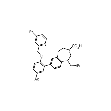 CCc1ccnc(COc2ccc(C(C)=O)cc2-c2ccc3c(c2)CCN(C(=O)O)CC3CC(C)C)c1